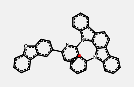 c1ccc(-n2c3ccccc3c3ccc4c5ccccc5n(-c5cccc(-c6ccc7oc8ccccc8c7c6)n5)c4c32)cc1